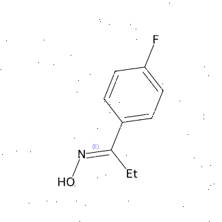 CC/C(=N\O)c1ccc(F)cc1